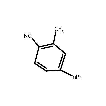 [CH2]CCc1ccc(C#N)c(C(F)(F)F)c1